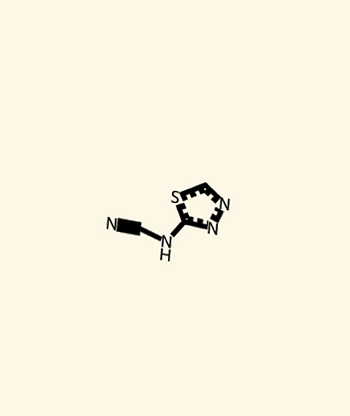 N#CNc1nncs1